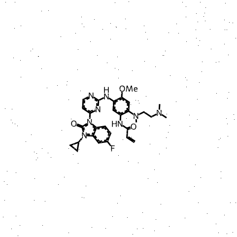 C=CC(=O)Nc1cc(Nc2nccc(-n3c(=O)n(C4CC4)c4cc(F)ccc43)n2)c(OC)cc1N(C)CCN(C)C